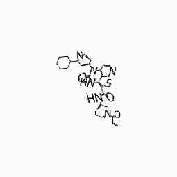 C=CC(=O)N1CCC=C(NC(=O)c2sc3nccc4c3c2NC(=O)N4c2ccnc(C3CCCCC3)c2)C1